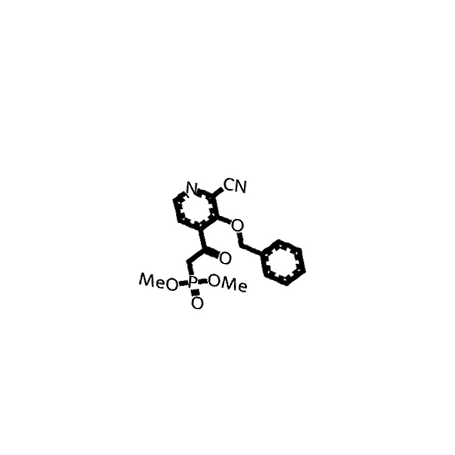 COP(=O)(CC(=O)c1ccnc(C#N)c1OCc1ccccc1)OC